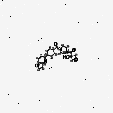 O=C(C1CCC(c2ccc3c(n2)CCO3)CC1)N1CCN(C(=O)C2(O)COC2)CC1